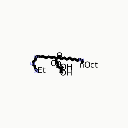 CC/C=C\C/C=C\C/C=C\CCCCCCC(C(=O)CCCCCCC/C=C\CCCCCCCC)C(=O)OCC(O)CO